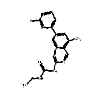 CCNC(=O)Nc1cc2cc(-c3cccc(F)c3)cc(C)c2cn1